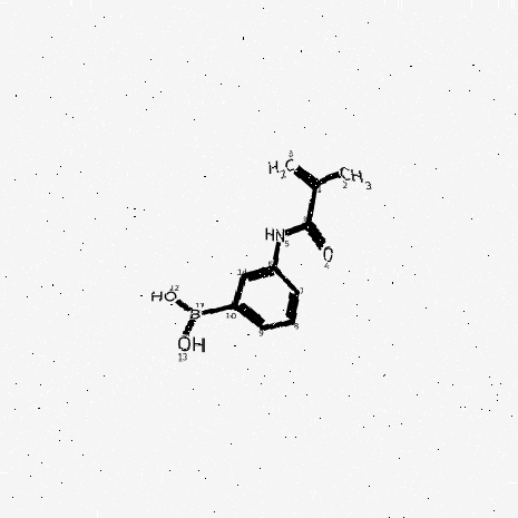 C=C(C)C(=O)Nc1cccc(B(O)O)c1